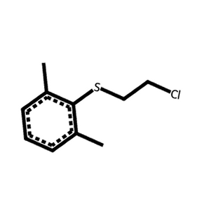 Cc1cccc(C)c1SCCCl